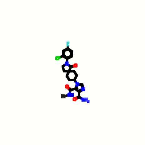 CCNC(=O)c1c(C(N)=O)ncn1C1CCC2(CC1)CCN(c1ccc(F)cc1Cl)C2=O